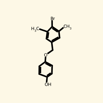 Cc1cc(COc2ccc(O)cc2)cc(C)c1Br